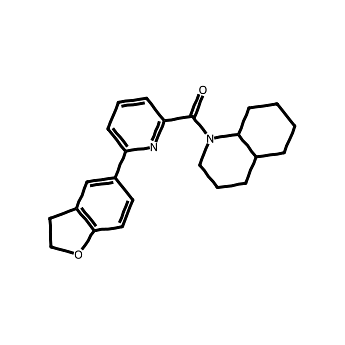 O=C(c1cccc(-c2ccc3c(c2)CCO3)n1)N1CCCC2CCCCC21